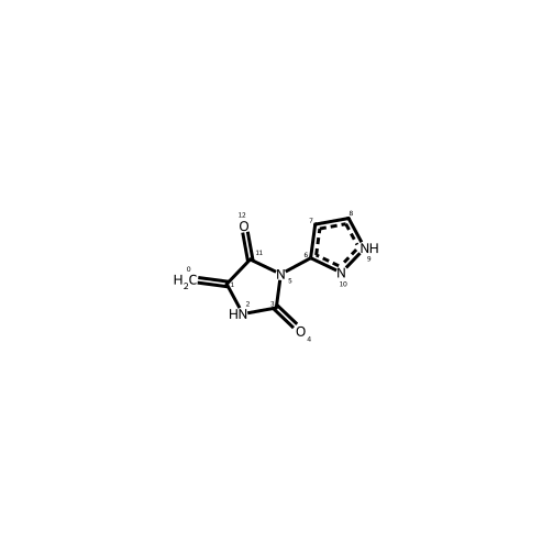 C=C1NC(=O)N(c2cc[nH]n2)C1=O